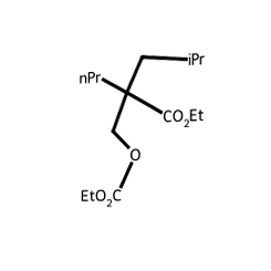 CCCC(COC(=O)OCC)(CC(C)C)C(=O)OCC